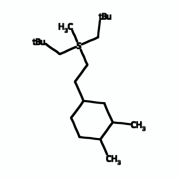 CC1CCC(CCS(C)(CC(C)(C)C)CC(C)(C)C)CC1C